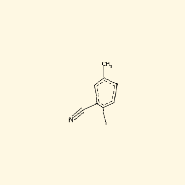 Cc1ccc(I)c(C#N)c1